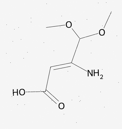 COC(OC)C(N)=CC(=O)O